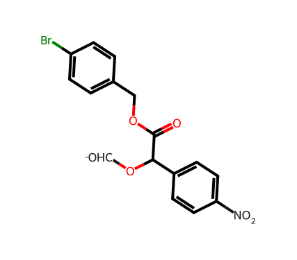 O=[C]OC(C(=O)OCc1ccc(Br)cc1)c1ccc([N+](=O)[O-])cc1